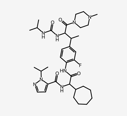 CC(C)NC(=O)NC(C(=O)N1CCN(C)CC1)C(C)c1ccc(NC(=O)C(NC(=O)c2ccnn2C(C)C)C2CCCCCC2)c(F)c1